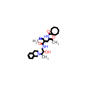 C/N=C\C(=C/C1=C(C)OC2(CCCCCCC2)C(=O)N1)C(=O)NC[C@@H](O)[C@@H](C)N1CCc2ccccc2C1